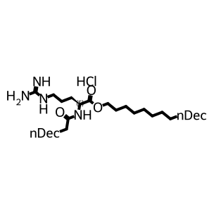 CCCCCCCCCCCCCCCCCCOC(=O)[C@H](CCCNC(=N)N)NC(=O)CCCCCCCCCCC.Cl